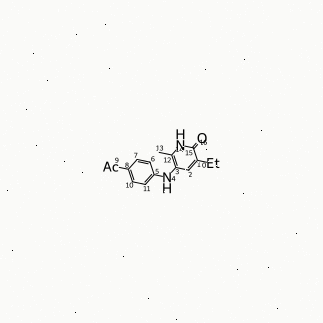 CCc1cc(Nc2ccc(C(C)=O)cc2)c(C)[nH]c1=O